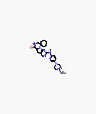 CCCCN1CCN(c2ccc(Nc3ncc4cc5n(c4n3)C3(CCCCC3)CNC5=O)nc2)C[C@@H]1C